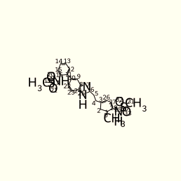 CC1CC(CCc2nc3cc(-c4ccccc4NS(C)(=O)=O)ccc3[nH]2)=CC=C1NS(C)(=O)=O